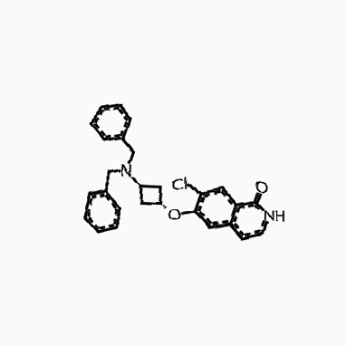 O=c1[nH]ccc2cc(O[C@H]3C[C@H](N(Cc4ccccc4)Cc4ccccc4)C3)c(Cl)cc12